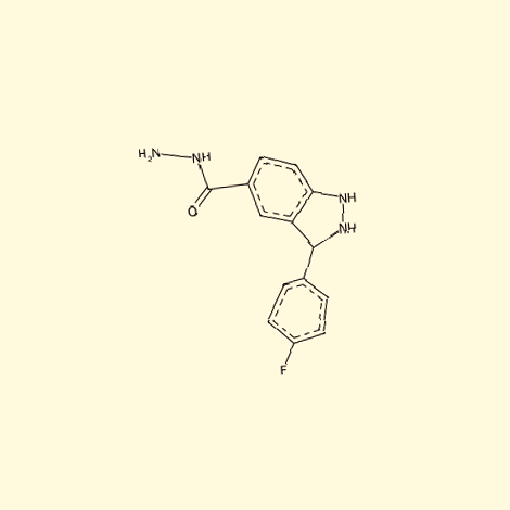 NNC(=O)c1ccc2c(c1)C(c1ccc(F)cc1)NN2